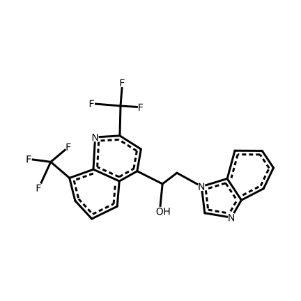 OC(Cn1cnc2ccccc21)c1cc(C(F)(F)F)nc2c(C(F)(F)F)cccc12